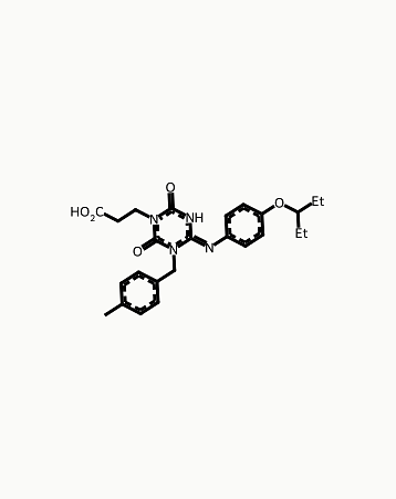 CCC(CC)Oc1ccc(/N=c2\[nH]c(=O)n(CCC(=O)O)c(=O)n2Cc2ccc(C)cc2)cc1